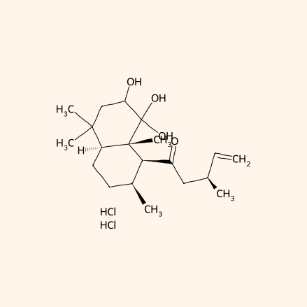 C=C[C@@H](C)CC(=O)[C@H]1[C@@H](C)CC[C@H]2C(C)(C)CC(O)C(O)(O)[C@]12C.Cl.Cl